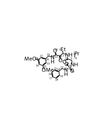 CCC(NC(=O)[C@H](CC(C)C)NS(=O)(=O)NCc1ccccc1)C(=O)C(=O)NCc1cc(OC)cc(OC)c1